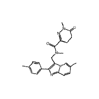 Cc1ccc(-c2nc3ccc(C)cn3c2CN(C)C(=O)C2=NN(C)C(=O)CC2)cc1